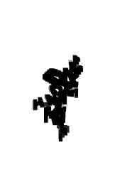 Cc1c(CC(F)(F)F)nc2c(c1NC(=O)/N=S(\N)c1nn(C(F)F)cc1F)CCC2